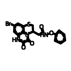 O=C(CC1CSc2cc(Br)cc3[nH]c(=O)c(=O)n1c23)NOc1ccccc1